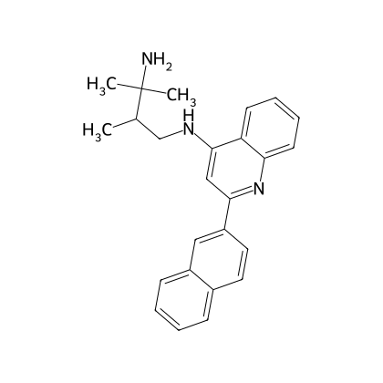 CC(CNc1cc(-c2ccc3ccccc3c2)nc2ccccc12)C(C)(C)N